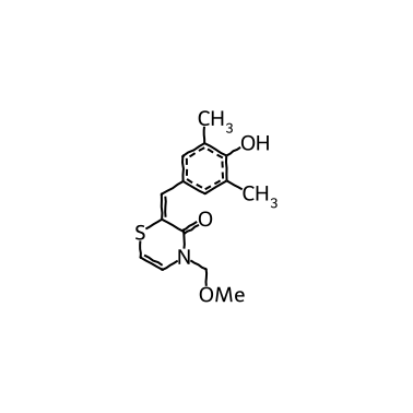 COCN1C=CSC(=Cc2cc(C)c(O)c(C)c2)C1=O